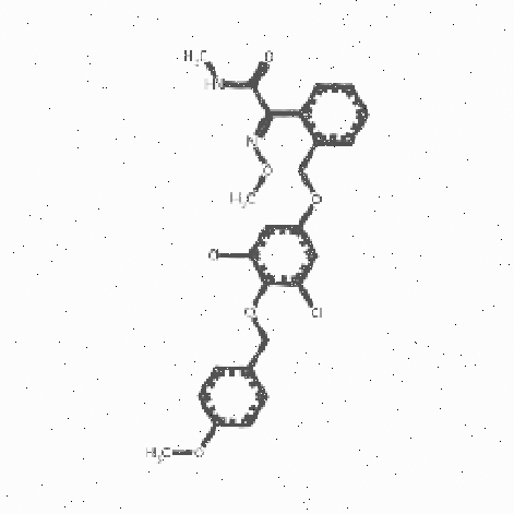 CNC(=O)/C(=N/OC)c1ccccc1COc1cc(Cl)c(OCc2ccc(OC)cc2)c(Cl)c1